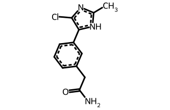 Cc1nc(Cl)c(-c2cccc(CC(N)=O)c2)[nH]1